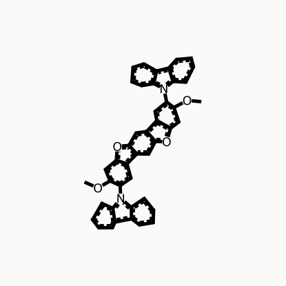 COc1cc2oc3cc4c(cc3c2cc1-n1c2ccccc2c2ccccc21)oc1cc(OC)c(-n2c3ccccc3c3ccccc32)cc14